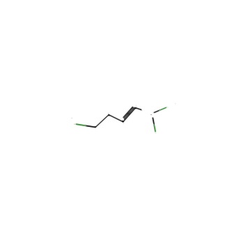 ClCCC=C[SiH](Cl)Cl